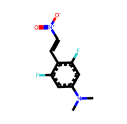 CN(C)c1cc(F)c(/C=C/[N+](=O)[O-])c(F)c1